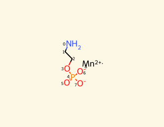 NCCOP(=O)([O-])[O-].[Mn+2]